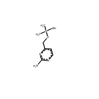 CC(C)(C)[Si](C)(C)OCc1ccnc(N)n1